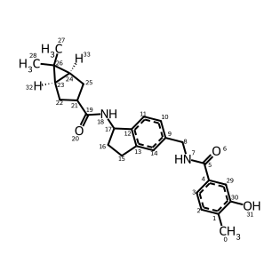 Cc1ccc(C(=O)NCc2ccc3c(c2)CCC3NC(=O)C2C[C@@H]3[C@H](C2)C3(C)C)cc1O